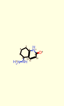 NNC1CCCc2[nH]c(=O)ccc21